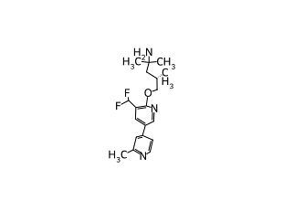 Cc1cc(-c2cnc(OC[C@@H](C)CC(C)(C)N)c(C(F)F)c2)ccn1